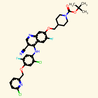 CC(C)(C)OC(=O)N1CCC(COc2cc3ncc(C#N)c(Nc4cc(F)c(OCc5cccc(Cl)n5)cc4Cl)c3cc2F)CC1